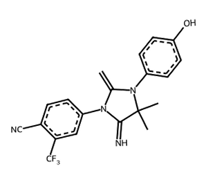 C=C1N(c2ccc(C#N)c(C(F)(F)F)c2)C(=N)C(C)(C)N1c1ccc(O)cc1